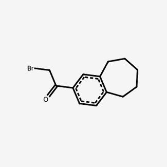 O=C(CBr)c1ccc2c(c1)CCCCC2